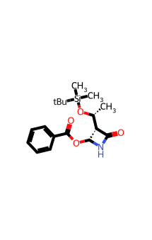 C[C@@H](O[Si](C)(C)C(C)(C)C)[C@@H]1C(=O)NC1OC(=O)c1ccccc1